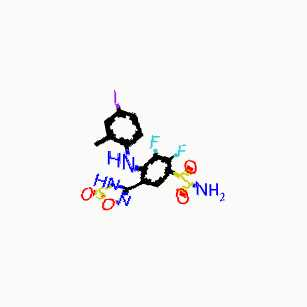 Cc1cc(I)ccc1Nc1c(C2=NOS(=O)N2)cc(S(N)(=O)=O)c(F)c1F